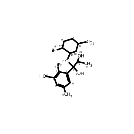 Cc1cc(O)c(C(C)C)c(C(O)(OC2CC(C)CCC2C(C)C)C(C)O)c1